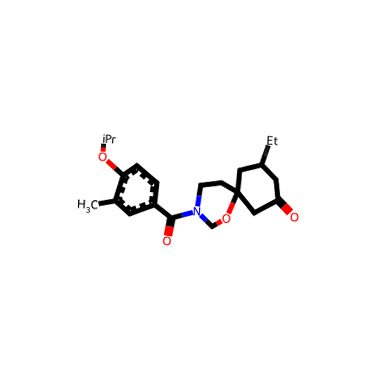 CCC1CC(=O)CC2(CCN(C(=O)c3ccc(OC(C)C)c(C)c3)CO2)C1